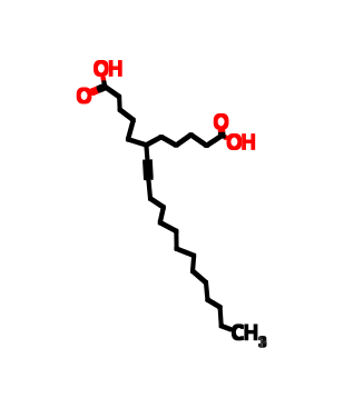 CCCCCCCCCCCCC#CC(CCCCC(=O)O)CCCCC(=O)O